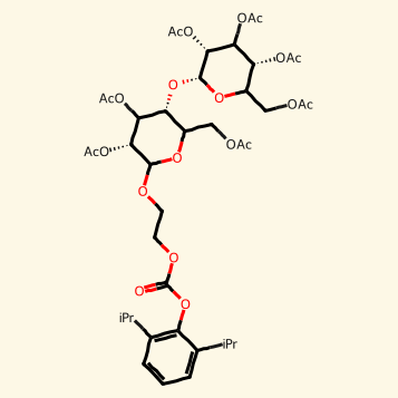 CC(=O)OCC1OC(OCCOC(=O)Oc2c(C(C)C)cccc2C(C)C)[C@H](OC(C)=O)C(OC(C)=O)[C@@H]1O[C@H]1OC(COC(C)=O)[C@@H](OC(C)=O)C(OC(C)=O)[C@H]1OC(C)=O